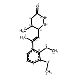 COc1cccc(/C(C)=C/C2NNC(=O)CC2C)c1SC